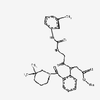 Cc1cccc(NC(=O)NCC(=O)N(CC(=O)OC(C)(C)C)c2ccccc2C(=O)N2CCCC(C)(C)C2)c1